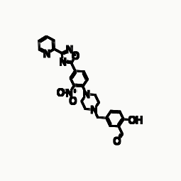 O=Cc1cc(CN2CCN(c3ccc(-c4nc(-c5ccccn5)no4)cc3[N+](=O)[O-])CC2)ccc1O